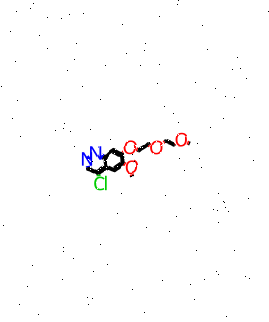 COCCOCCOc1cc2nncc(Cl)c2cc1OC